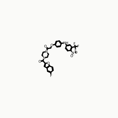 O=C(COc1ccc(Nc2ccc([N+](=O)[O-])c(C(F)(F)F)c2)cc1)N1CCN(C(=O)c2cc3cc(F)ccc3o2)CC1